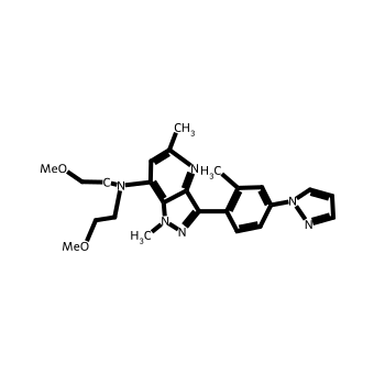 COCCN(CCOC)c1cc(C)nc2c(-c3ccc(-n4cccn4)cc3C)nn(C)c12